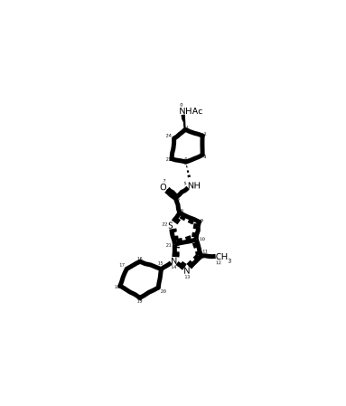 CC(=O)N[C@H]1CC[C@H](NC(=O)c2cc3c(C)nn(C4CCCCC4)c3s2)CC1